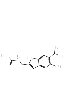 CC(=O)NCc1cc2cc(C)c(C(C)C)cc2[nH]1